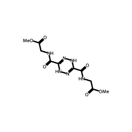 COC(=O)CNC(=O)C1=NNC(C(=O)NCC(=O)OC)=NN1